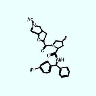 CC(=O)N1CC2CC(C(=O)N3CC(F)CC3C(=O)NC(c3ccccc3)c3ccc(C(C)C)cc3)OC2C1